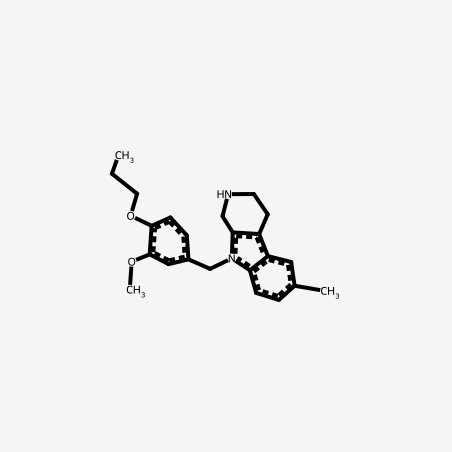 CCCOc1ccc(Cn2c3c(c4cc(C)ccc42)CCNC3)cc1OC